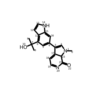 CN1C=C(c2cc(C(C)(C)O)c3cc[nH]c3c2)C2=CC=NC(=O)C21